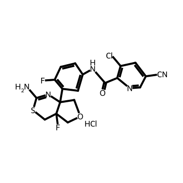 Cl.N#Cc1cnc(C(=O)Nc2ccc(F)c(C34COCC3(F)CSC(N)=N4)c2)c(Cl)c1